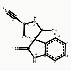 CC1N[C@H](C#N)C[C@]12C(=O)Nc1ccccc12